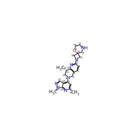 Cc1cc(N2Cc3ccc(N4CC5(CNCCO5)C4)nc3[C@@H](C)C2)c2cnn(C)c2n1